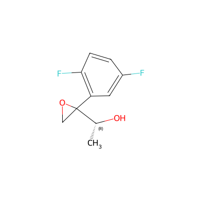 C[C@@H](O)C1(c2cc(F)ccc2F)CO1